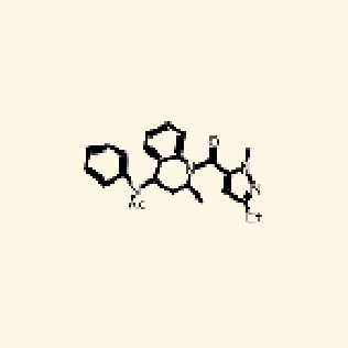 CCc1cc(C(=O)N2c3ccccc3C(N(C(C)=O)c3ccccc3)CC2C)n(C)n1